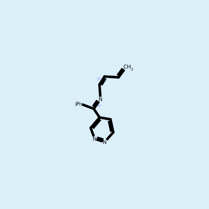 C=C/C=C\N=C(\c1ccnnc1)C(C)C